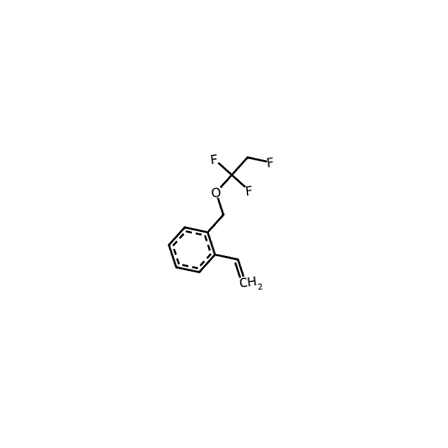 C=Cc1ccccc1COC(F)(F)CF